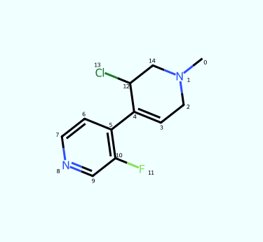 CN1CC=C(c2ccncc2F)C(Cl)C1